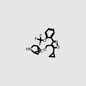 FC(F)(F)Oc1ccccc1-c1noc(C2CC2)c1CO[C@@H]1CC2CC1CN2